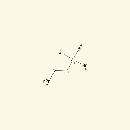 CCCC[CH2][Zr]([Br])([Br])[Br]